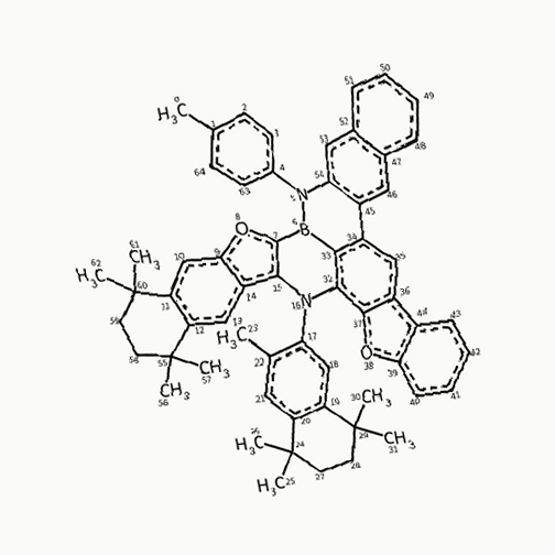 Cc1ccc(N2B3c4oc5cc6c(cc5c4N(c4cc5c(cc4C)C(C)(C)CCC5(C)C)c4c3c(cc3c4oc4ccccc43)-c3cc4ccccc4cc32)C(C)(C)CCC6(C)C)cc1